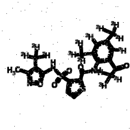 [2H]c1c(C(=O)C([2H])([2H])[2H])c(NC(=O)c2sccc2S(=O)(=O)Nc2onc(C)c2C([2H])([2H])[2H])c(C([2H])([2H])[2H])c([2H])c1C([2H])([2H])[2H]